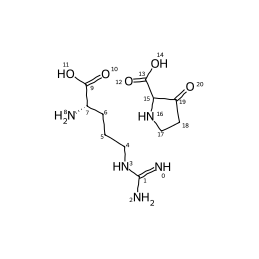 N=C(N)NCCC[C@H](N)C(=O)O.O=C(O)C1NCCC1=O